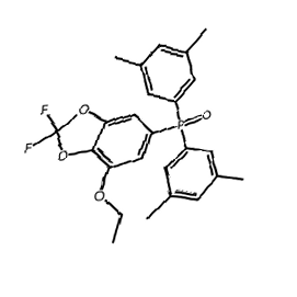 CCOc1cc(P(=O)(c2cc(C)cc(C)c2)c2cc(C)cc(C)c2)cc2c1OC(F)(F)O2